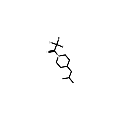 CC(C)CC1CCN(C(=O)C(F)(F)F)CC1